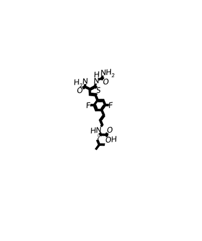 CC(C)C[C@H](NCC=Cc1cc(F)c(-c2cc(C(N)=O)c(NC(N)=O)s2)cc1F)C(=O)O